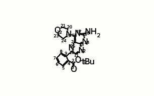 CC(C)(C)OC(=O)c1ccccc1-c1cnc2nc(N)nc(N3CCOCC3)c2n1